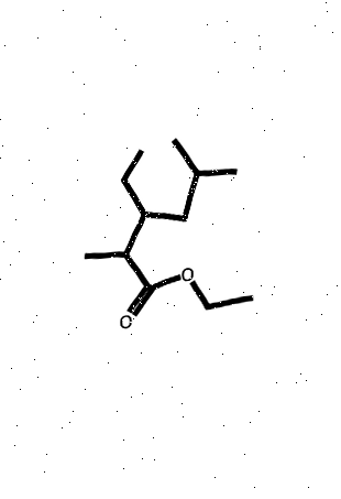 CCOC(=O)C(C)C(CC)CC(C)C